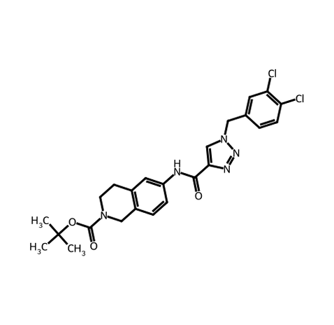 CC(C)(C)OC(=O)N1CCc2cc(NC(=O)c3cn(Cc4ccc(Cl)c(Cl)c4)nn3)ccc2C1